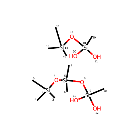 C[Si](C)(C)O[Si](C)(C)O[Si](C)(O)O.C[Si](C)(C)O[Si](C)(O)O